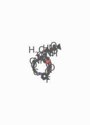 C=C[C@@H]1C[C@]1(NC(=O)[C@@H]1C[C@@H]2CN1C(=O)[C@H](CC(F)(F)F)NC(=O)OCCC/C=C/c1ccc(F)c3c1CN(C3)C(=O)O2)C(=O)NS(=O)(=O)C1CC1